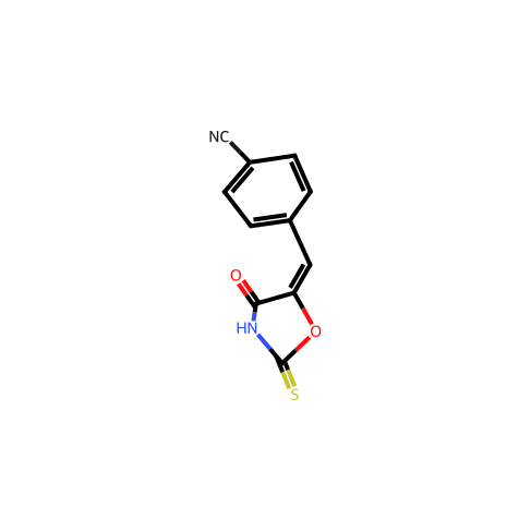 N#Cc1ccc(C=C2OC(=S)NC2=O)cc1